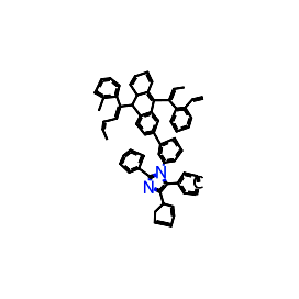 C=Cc1ccccc1/C(=C\C)C1=C2C=CC=CC2C(/C(=C/C=C\C)c2ccccc2C)c2ccc(-c3cccc(-n4c(-c5ccccc5)nc(C5C=CC=CC5)c4-c4ccccc4)c3)cc21